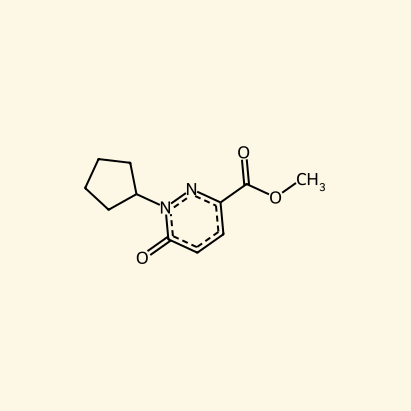 COC(=O)c1ccc(=O)n(C2CCCC2)n1